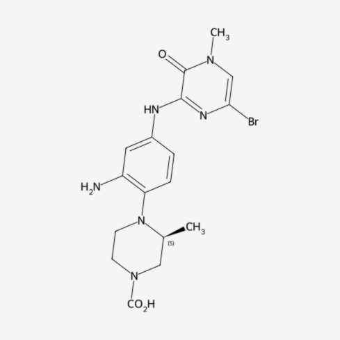 C[C@H]1CN(C(=O)O)CCN1c1ccc(Nc2nc(Br)cn(C)c2=O)cc1N